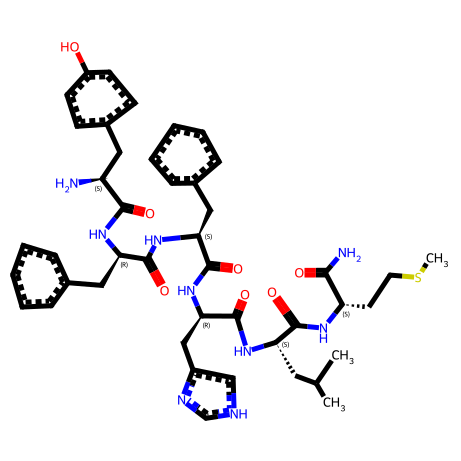 CSCC[C@H](NC(=O)[C@H](CC(C)C)NC(=O)[C@@H](Cc1c[nH]cn1)NC(=O)[C@H](Cc1ccccc1)NC(=O)[C@@H](Cc1ccccc1)NC(=O)[C@@H](N)Cc1ccc(O)cc1)C(N)=O